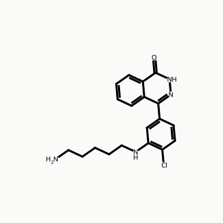 NCCCCCNc1cc(-c2n[nH]c(=O)c3ccccc23)ccc1Cl